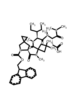 CCC(CC)[C@@H](C(=O)N(C)[C@@H](CC(=O)O)C(=O)N(C)C)N(C)C(=O)C1(N(C)C(=O)[C@@H]2CC3(CC3)CN2C(=O)OCC2c3ccccc3-c3ccccc32)CC(C)(C)C1